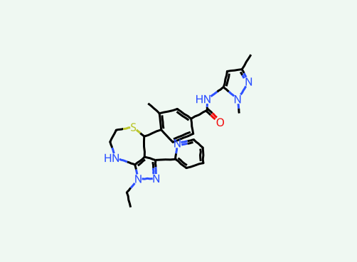 CCn1nc(-c2ccccn2)c2c1NCCSC2c1ccc(C(=O)Nc2cc(C)nn2C)cc1C